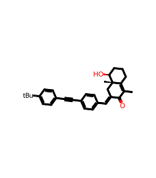 CC1=C2CCC[C@H](O)[C@@]2(C)C/C(=C\c2ccc(C#Cc3ccc(C(C)(C)C)cc3)cc2)C1=O